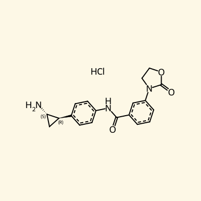 Cl.N[C@H]1C[C@@H]1c1ccc(NC(=O)c2cccc(N3CCOC3=O)c2)cc1